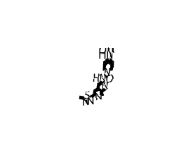 CNC1CCN(C(=O)Nc2cc3cc(-c4nnc(C)s4)ncc3cn2)CC1